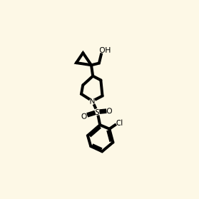 O=S(=O)(c1ccccc1Cl)N1CCC(C2(CO)CC2)CC1